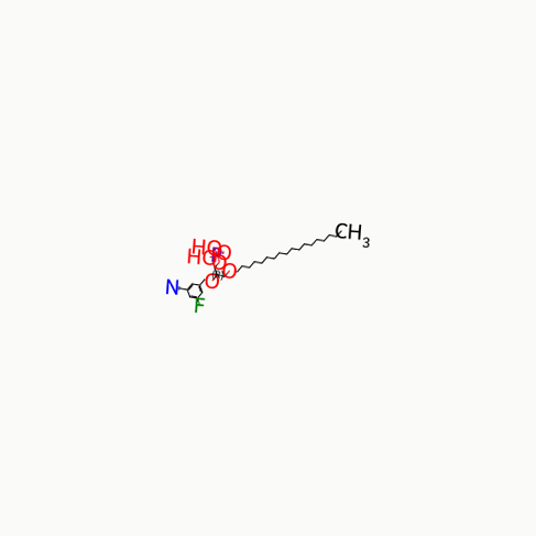 CCCCCCCCCCCCCCCCCCOC[C@H](COP(=O)(O)O)OCc1cc(F)cc(C#N)c1